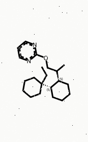 CCC1([C@H]2CCCC[C@@H]2C(C)COc2ncccn2)CCCCC1